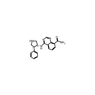 NC(=O)c1cccc2c(N[C@H]3CNC[C@@H]3c3ccccc3)ncnc12